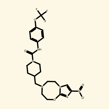 O=C(Nc1ccc(OC(F)(F)F)cc1)N1CCC(CN2CCOc3nc([N+](=O)[O-])cn3CC2)CC1